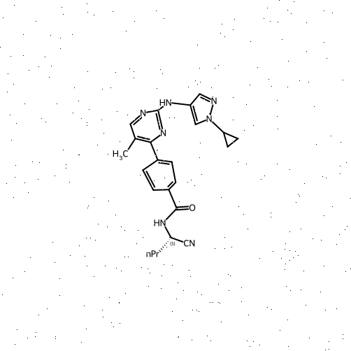 CCC[C@@H](C#N)NC(=O)c1ccc(-c2nc(Nc3cnn(C4CC4)c3)ncc2C)cc1